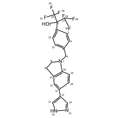 OC(c1ccc(CN2CCc3cc(-c4cn[nH]c4)ccc32)cc1)(C(F)(F)F)C(F)(F)F